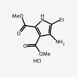 CCc1[nH]c(C(=O)OC)c(C(=O)OC)c1N.Cl